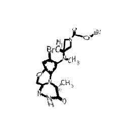 C[C@@H]1C(=O)NN=C2COc3cc(Br)c(N(C)C4(C)CN(C(=O)OC(C)(C)C)C4)cc3N21